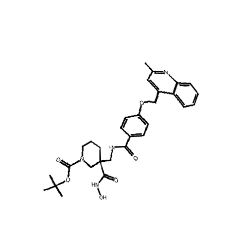 Cc1cc(COc2ccc(C(=O)NCC3(C(=O)NO)CCCN(C(=O)OC(C)(C)C)C3)cc2)c2ccccc2n1